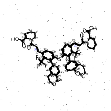 O=C(O)C1CCCCN1C(=O)/C=C/c1ccc(Sc2ccc(/C=C/C(=O)N3CCCCC3C(=O)O)c(C(F)(F)F)c2-c2ccc3c(c2)CCOO3)c(-c2ccc3c(c2)CCOO3)c1C(F)(F)F